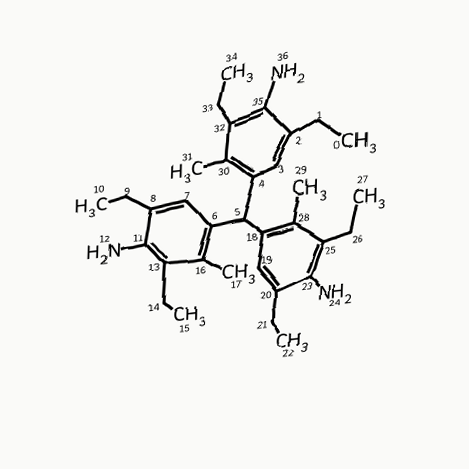 CCc1cc(C(c2cc(CC)c(N)c(CC)c2C)c2cc(CC)c(N)c(CC)c2C)c(C)c(CC)c1N